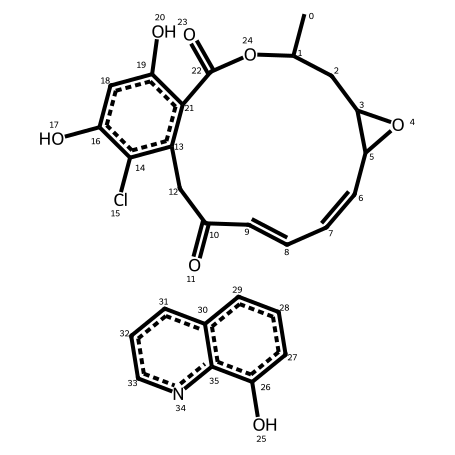 CC1CC2OC2/C=C\C=C\C(=O)Cc2c(Cl)c(O)cc(O)c2C(=O)O1.Oc1cccc2cccnc12